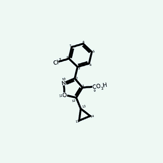 O=C(O)c1c(-c2ccccc2Cl)noc1C1CC1